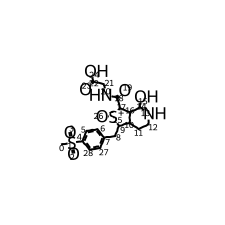 CS(=O)(=O)c1ccc(CC2C3CCNC(O)C3C(C(=O)NCC(=O)O)[S+]2[O-])cc1